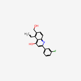 C=Cc1c(CO)ccc2nc(-c3cccc(F)c3)cc(O)c12